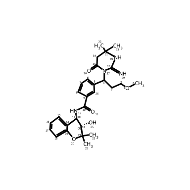 COCCC(c1cccc(C(=O)N[C@@H]2c3ccccc3OC(C)(C)[C@H]2O)c1)N1C(=N)NC(C)(C)CC1=O